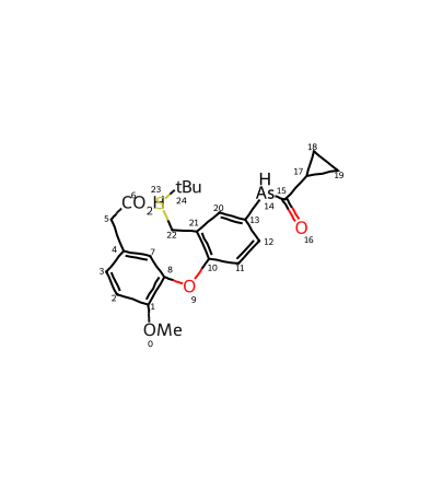 COc1ccc(CC(=O)O)cc1Oc1ccc([AsH]C(=O)C2CC2)cc1CSC(C)(C)C